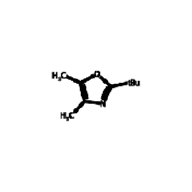 Cc1nc(C(C)(C)C)oc1C